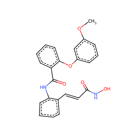 COc1cccc(Oc2ccccc2C(=O)Nc2ccccc2/C=C/C(=O)NO)c1